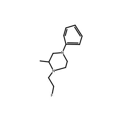 CC1CN(c2ccccc2)CCN1CCF